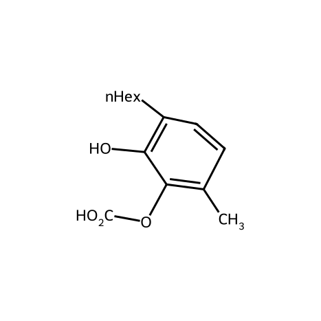 CCCCCCc1ccc(C)c(OC(=O)O)c1O